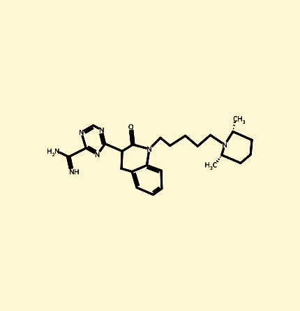 C[C@@H]1CCC[C@H](C)N1CCCCCN1C(=O)C(c2ncnc(C(=N)N)n2)Cc2ccccc21